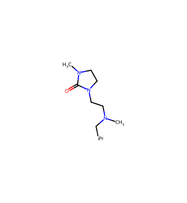 CC(C)CN(C)CCN1CCN(C)C1=O